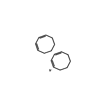 C1=C\CCCC\C=C/1.C1=C\CCCC\C=C/1.[Ir]